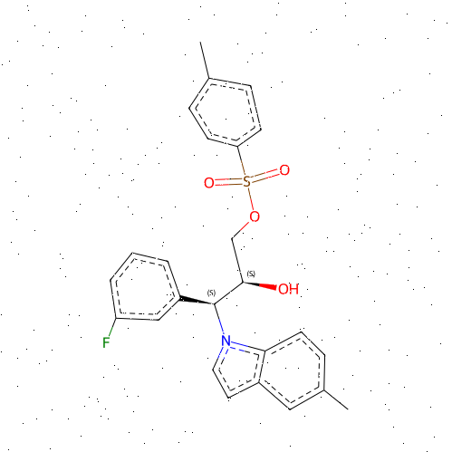 Cc1ccc(S(=O)(=O)OC[C@@H](O)[C@H](c2cccc(F)c2)n2ccc3cc(C)ccc32)cc1